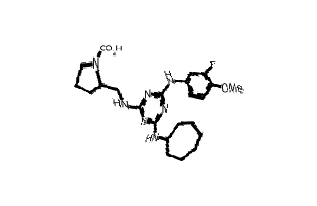 COc1ccc(Nc2nc(NCC3CCCN3C(=O)O)nc(NC3CCCCCC3)n2)cc1F